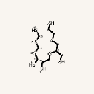 SCCSCC(CS)SCCS.SCSCSCS